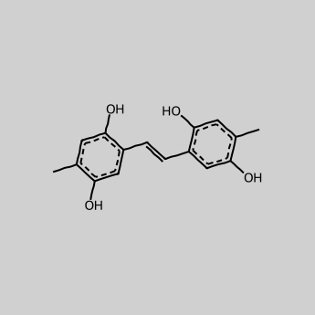 Cc1cc(O)c(/C=C/c2cc(O)c(C)cc2O)cc1O